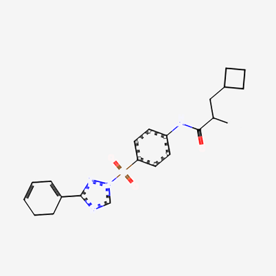 CC(CC1CCC1)C(=O)Nc1ccc(S(=O)(=O)n2cnc(C3=CC=CCC3)n2)cc1